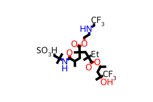 CCC(C)(CC(C)(CC(C)C(=O)NC(C)(C)CS(=O)(=O)O)C(=O)OCCNCC(F)(F)F)C(=O)OC(C)CC(C)(O)C(F)(F)F